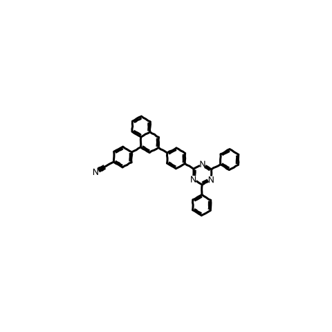 N#Cc1ccc(-c2cc(-c3ccc(-c4nc(-c5ccccc5)nc(-c5ccccc5)n4)cc3)cc3ccccc23)cc1